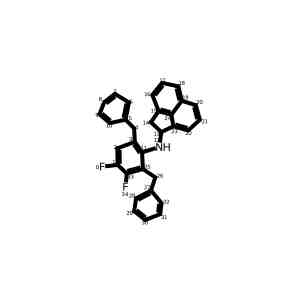 Fc1cc(Cc2ccccc2)c(NC2Cc3cccc4cccc2c34)c(Cc2ccccc2)c1F